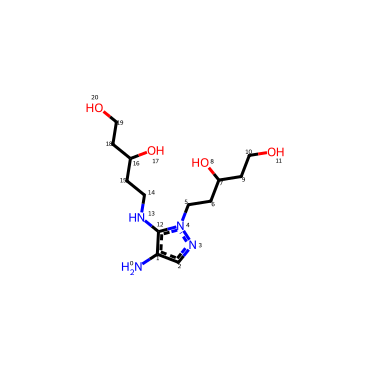 Nc1cnn(CCC(O)CCO)c1NCCC(O)CCO